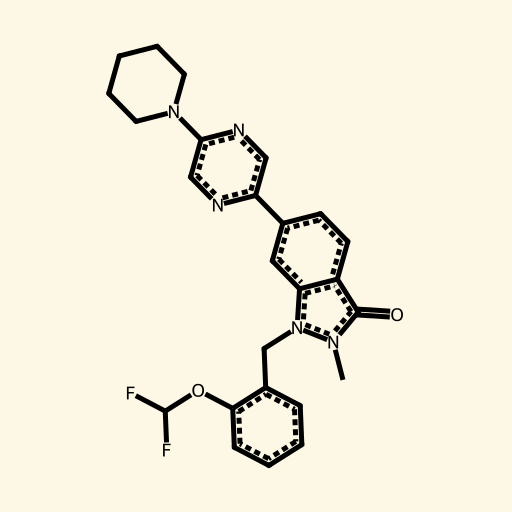 Cn1c(=O)c2ccc(-c3cnc(N4CCCCC4)cn3)cc2n1Cc1ccccc1OC(F)F